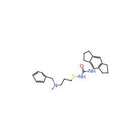 CN(CCCSNC(=O)Nc1c2c(cc3c1CCC3)CCC2)Cc1ccccc1